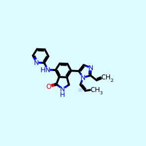 C=Cc1ncc(-c2ccc(Nc3ccccn3)c3c2CNC3=O)n1/C=C\C